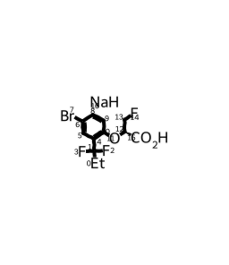 CCC(F)(F)c1cc(Br)ccc1O[C@@H](CF)C(=O)O.[NaH]